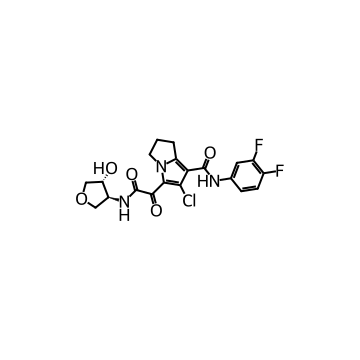 O=C(N[C@H]1COC[C@@H]1O)C(=O)c1c(Cl)c(C(=O)Nc2ccc(F)c(F)c2)c2n1CCC2